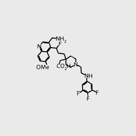 COc1ccc2ncc(CN)c(C(F)CCC3(CC(=O)O)CCN(CCNc4cc(F)c(F)c(F)c4)CC3)c2c1